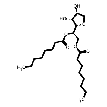 CCCCCCCC(=O)OC[C@@H](OC(=O)CCCCCCC)[C@H]1OC[C@H](O)[C@H]1O